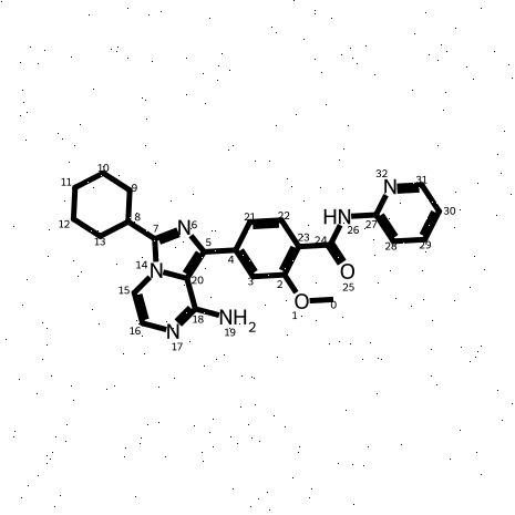 COc1cc(-c2nc(C3CCCCC3)n3ccnc(N)c23)ccc1C(=O)Nc1ccccn1